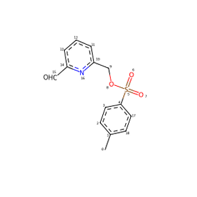 Cc1ccc(S(=O)(=O)OCc2cccc(C=O)n2)cc1